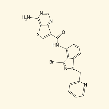 Nc1ncnc2c(C(=O)Nc3cccc4c3c(Br)nn4Cc3ccccn3)csc12